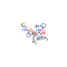 C/C(=C\C(C(C)C)N(C)C(=O)[C@@H](NC(=O)[C@H]1CCCCN1C(C)C)C(C)(C)C)C(=O)N1CCC[C@H]1C(=O)NCc1cccs1